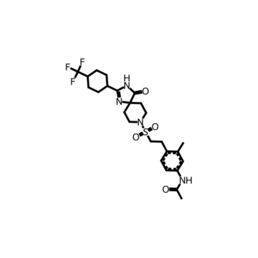 CC(=O)Nc1ccc(CCS(=O)(=O)N2CCC3(CC2)N=C(C2CCC(C(F)(F)F)CC2)NC3=O)c(C)c1